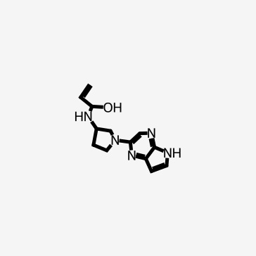 C=CC(O)NC1CCN(c2cnc3[nH]ccc3n2)C1